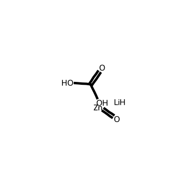 O=C(O)O.[LiH].[O]=[Zn]